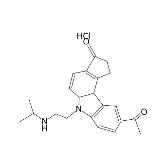 CC(=O)c1ccc2c(c1)C1C3=C(C=CC1N2CCNC(C)C)C(=O)CC3.Cl